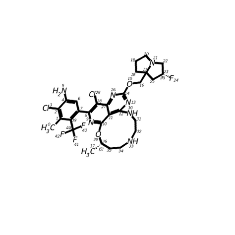 Cc1c(Cl)c(N)cc(-c2nc3c4c(nc(OCC56CCCN5C[C@H](F)C6)nc4c2Cl)NCCNCC[C@H](C)O3)c1C(F)(F)F